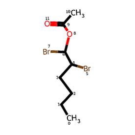 CCCCC(Br)C(Br)OC(C)=O